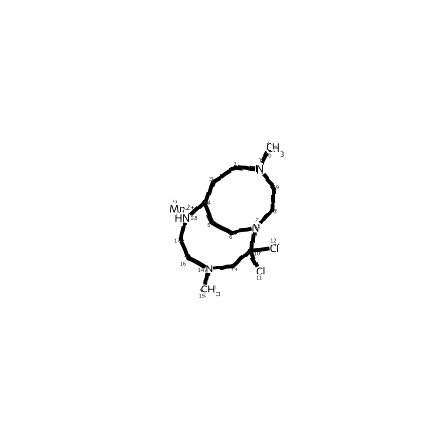 CN1CCC2CCN(CC1)C(Cl)(Cl)CN(C)CCN2.[Mn+2]